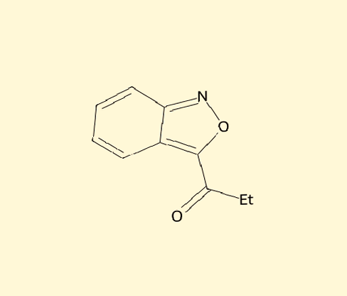 CCC(=O)c1onc2ccccc12